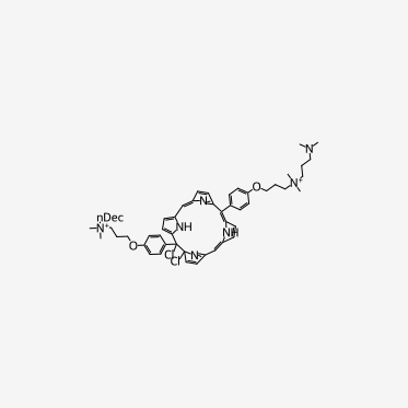 CCCCCCCCCC[N+](C)(C)CCCOc1ccc(C2(Cl)c3ccc([nH]3)C=C3C=CC(=N3)C(c3ccc(OCCC[N+](C)(C)CCCN(C)C)cc3)=c3ccc([nH]3)=CC3=NC2(Cl)C=C3)cc1